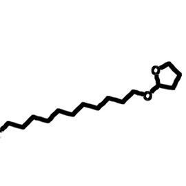 CCCCCCCCCCCCOC1CCCO1